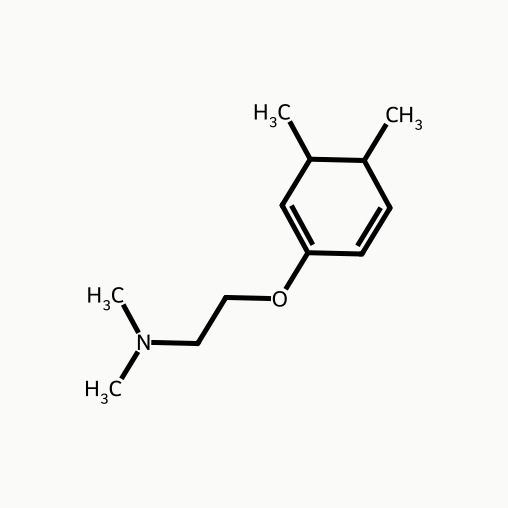 CC1C=CC(OCCN(C)C)=CC1C